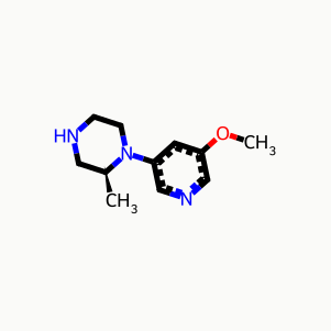 COc1cncc(N2CCNC[C@@H]2C)c1